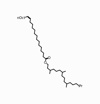 CCCCCCCC/C=C\CCCCCCCCCCCCCC(=O)OCCC(C)CCCC(C)CCCC(C)CCCC(C)C